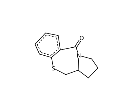 O=C1c2ccccc2SCC2CCCN12